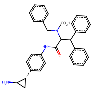 N[C@@H]1C[C@H]1c1ccc(NC(=O)C(C(c2ccccc2)c2ccccc2)N(Cc2ccccc2)C(=O)O)cc1